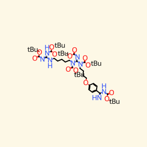 CC(C)(C)OC(=O)N=C(NCCCCCN(C(=O)OC(C)(C)C)C(=NC(=O)OC(C)(C)C)N(CCCCOc1ccc(C(=N)NC(=O)OC(C)(C)C)cc1)C(=O)OC(C)(C)C)NC(=O)OC(C)(C)C